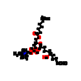 CCCCCCCCCCCCCCCC(=O)OC[C@H](COP(=O)([O-])OCC[N+](C)(C)C)OC(=O)CCCC(O)C=CC=CC=O